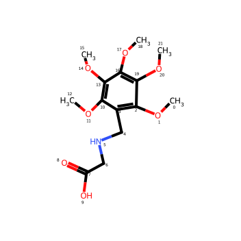 COc1c(CNCC(=O)O)c(OC)c(OC)c(OC)c1OC